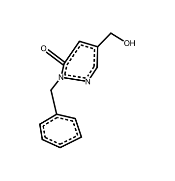 O=c1cc(CO)cnn1Cc1ccccc1